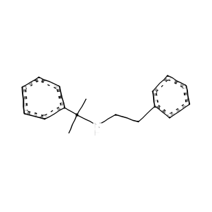 CC(C)(NCCc1ccccc1)c1ccccc1